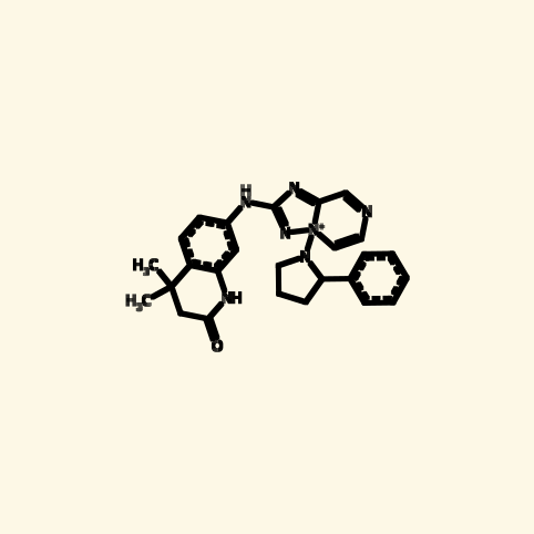 CC1(C)CC(=O)Nc2cc(NC3=N[N+]4(N5CCCC5c5ccccc5)C=CN=CC4=N3)ccc21